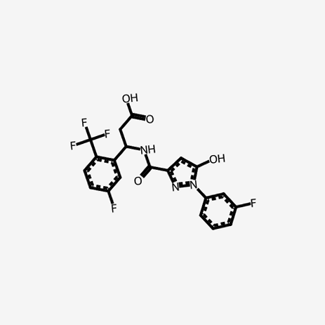 O=C(O)CC(NC(=O)c1cc(O)n(-c2cccc(F)c2)n1)c1cc(F)ccc1C(F)(F)F